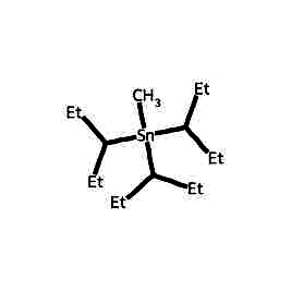 CC[CH](CC)[Sn]([CH3])([CH](CC)CC)[CH](CC)CC